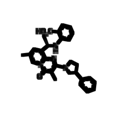 Cc1cc([C@@H](C)Nc2ccccc2C(=O)O)c2nc(N3CCC(c4ccccc4)C3)c(C)c(=O)n2c1